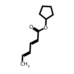 CC=CC=CC(=O)OC1CCCC1